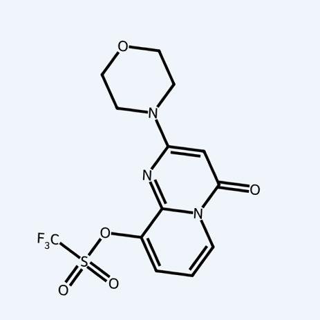 O=c1cc(N2CCOCC2)nc2c(OS(=O)(=O)C(F)(F)F)cccn12